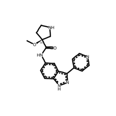 CO[C@@]1(C(=O)Nc2ccc3[nH]nc(-c4ccncc4)c3c2)CCNC1